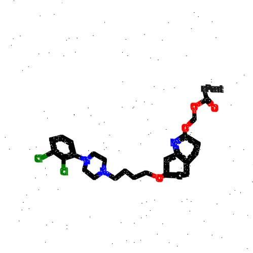 CCCCCC(=O)OCOc1ccc2ccc(OCCCCN3CCN(c4cccc(Cl)c4Cl)CC3)cc2n1